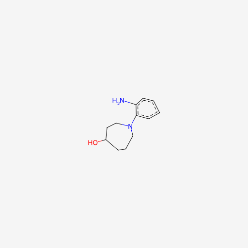 Nc1ccccc1N1CCCC(O)CC1